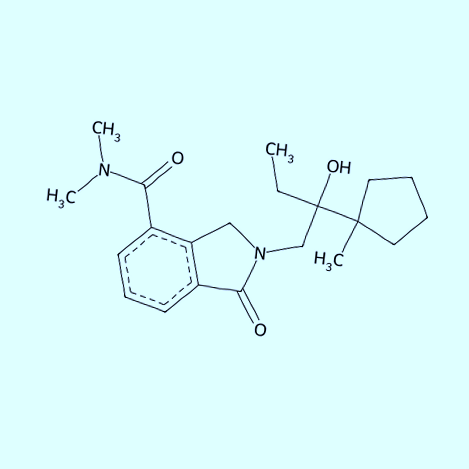 CCC(O)(CN1Cc2c(C(=O)N(C)C)cccc2C1=O)C1(C)CCCC1